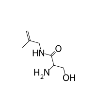 C=C(C)CNC(=O)C(N)CO